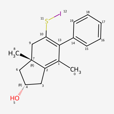 CC1=C2C[C@H](O)C[C@]2(C)CC(SI)=C1c1ccccc1